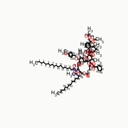 CCCCCCCCCCCCCCCCCC(=O)N[C@H]1CO[C@@H]2O[C@@H](COC(=O)CCC(=O)O[C@H](CCCCCCCCCCCCCC)[C@H]1OC(C)=O)[C@@H](O[C@@H]1OC(COC(=O)c3ccccc3)[C@H](C)[C@H](O[C@]3(C(=O)OC)CC(C)[C@@H](C)[C@H]([C@H](C)C(COC(C)=O)OC(C)=O)O3)C1OC(=O)c1ccccc1)C(C)C2OCc1ccc(OC)cc1